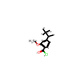 CC(c1ccc(C(=O)Cl)c(O[SiH3])c1)C(C)(C)C